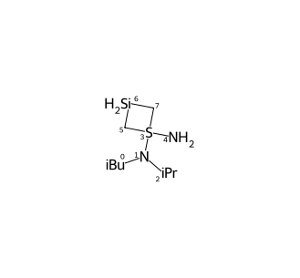 CCC(C)N(C(C)C)S1(N)C[SiH2]C1